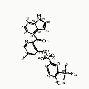 O=C(c1ncc(I)cc1NS(=O)(=O)c1ccc(Cl)c(C(F)(F)F)c1)c1ccnc2[nH]ccc12